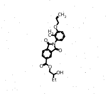 C=CCOc1cccc(N2C(=O)c3ccc(C(=O)OCC(O)CC)cc3C2=O)c1C